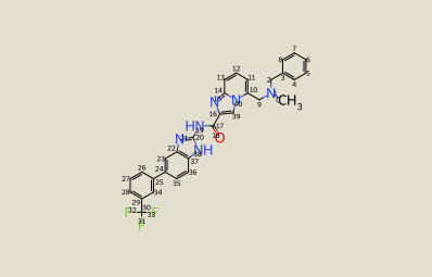 CN(Cc1ccccc1)Cc1cccc2nc(C(=O)Nc3nc4cc(-c5cccc(C(F)(F)F)c5)ccc4[nH]3)cn12